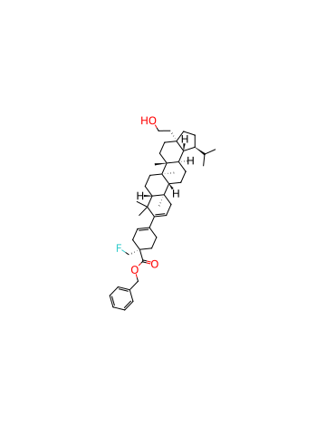 CC(C)[C@@H]1CC[C@]2(CCO)CC[C@]3(C)[C@H](CC[C@@H]4[C@@]5(C)CC=C(C6=CC[C@](CF)(C(=O)OCc7ccccc7)CC6)C(C)(C)[C@@H]5CC[C@]43C)[C@@H]12